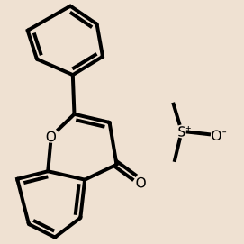 C[S+](C)[O-].O=c1cc(-c2ccccc2)oc2ccccc12